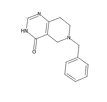 O=c1[nH][c]nc2c1CN(Cc1ccccc1)CC2